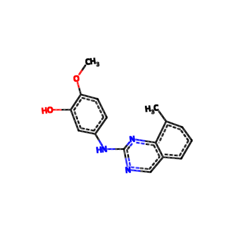 COc1ccc(Nc2ncc3cccc(C)c3n2)cc1O